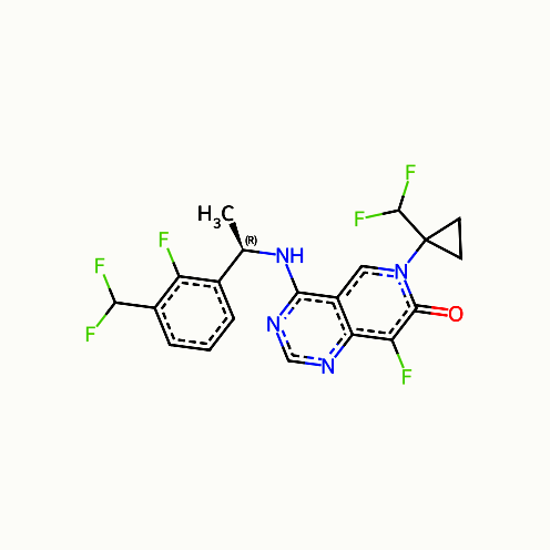 C[C@@H](Nc1ncnc2c(F)c(=O)n(C3(C(F)F)CC3)cc12)c1cccc(C(F)F)c1F